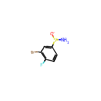 N[S+]([O-])c1ccc(F)c(Br)c1